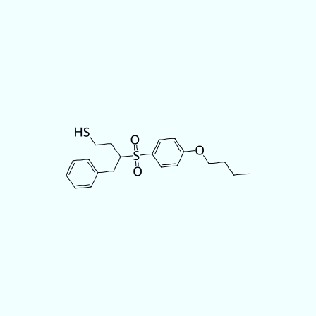 CCCCOc1ccc(S(=O)(=O)C(CCS)Cc2ccccc2)cc1